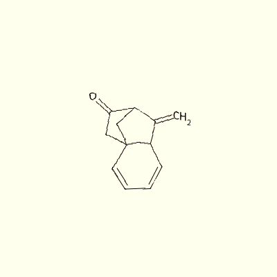 C=C1C2CC3(C=CC=CC13)CC2=O